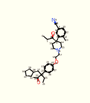 CCC(=O)C1(c2cc(C#N)ccc2C)CCN(CCOc2ccc(C(CC)(CC3CCCC3)C(C)=O)cc2)CC1